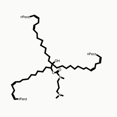 CCCCC/C=C\C/C=C\CCCCCCCCC(OC(=O)N(C)CCCN(C)C)C(O)(CCCCCCCC/C=C\C/C=C\CCCCC)CCCCCCCC/C=C\C/C=C\CCCCC